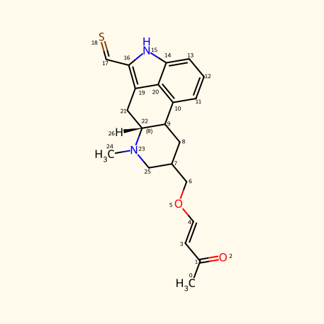 CC(=O)C=COCC1CC2c3cccc4[nH]c(C=S)c(c34)C[C@H]2N(C)C1